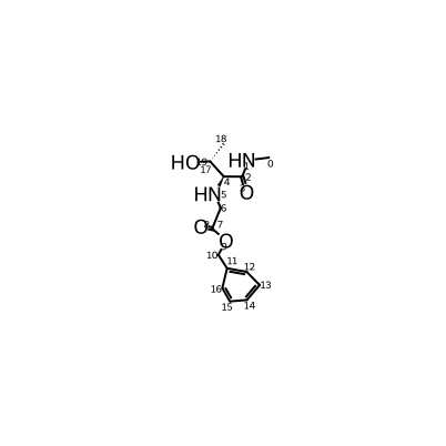 CNC(=O)[C@@H](NCC(=O)OCc1ccccc1)[C@@H](C)O